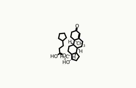 C[C@]12CC[C@H]3[C@@H](CCC4=CC(=O)CC[C@@]43C)[C@@H]1CC[C@@H]2O.O=C(O)CCC1CCCC1